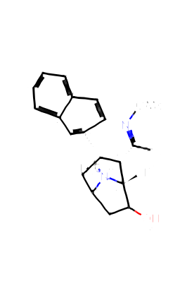 CCC(=NOC)[C@H]1[C@@H](c2ccc3ccccc3c2)CC2CC(O)[C@@H]1N2C